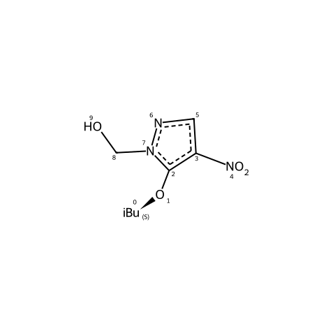 CC[C@H](C)Oc1c([N+](=O)[O-])cnn1CO